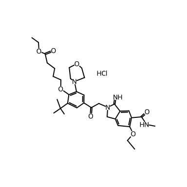 CCOC(=O)CCCCOc1c(N2CCOCC2)cc(C(=O)CN2Cc3cc(OCC)c(C(=O)NC)cc3C2=N)cc1C(C)(C)C.Cl